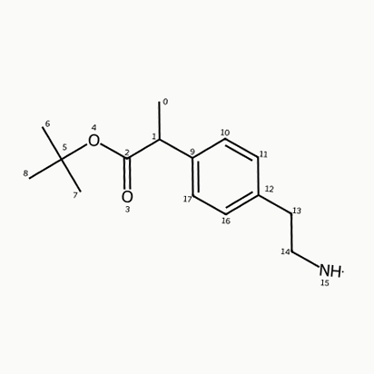 CC(C(=O)OC(C)(C)C)c1ccc(CC[NH])cc1